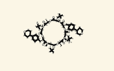 C[C@H]1OC(=O)[C@H](CC(C)(C)C)N(C)C(=O)[C@@H](Cc2ccc(C3CCOCC3)cc2)OC(=O)[C@H](CC(C)(C)F)N(C)C(=O)[C@@H](C)OC(=O)[C@H](CC(C)(C)C)N(C)C(=O)[C@@H](Cc2ccc(C3CCOCC3)cc2)OC(=O)[C@H](CC(C)(C)F)N(C)C1=O